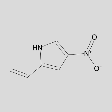 C=Cc1cc([N+](=O)[O-])c[nH]1